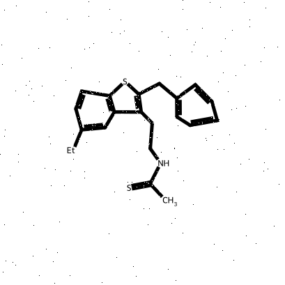 CCc1ccc2sc(Cc3ccccc3)c(CCNC(C)=S)c2c1